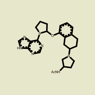 CC(=O)NC1CCN(C2CCc3cccc(OC4CCCN4c4ncnc5[nH]cnc45)c3C2)C1